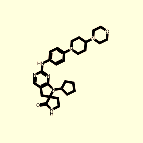 O=C1NCCC12Cc1cnc(Nc3ccc(N4CCC(N5CCOCC5)CC4)cc3)nc1N2C1CCCC1